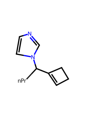 CCCC(C1=CCC1)n1ccnc1